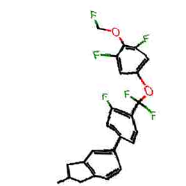 CC1Cc2ccc(-c3ccc(C(F)(F)Oc4cc(F)c(OCF)c(F)c4)c(F)c3)cc2C1